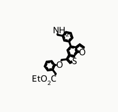 CCOC(=O)Cc1ccccc1OCc1csc2c1cc(-c1cccc(CN)c1)c1ccoc12